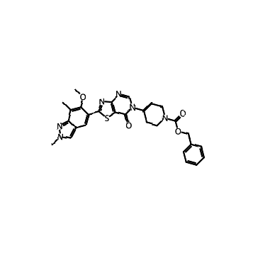 COc1c(-c2nc3ncn(C4CCN(C(=O)OCc5ccccc5)CC4)c(=O)c3s2)cc2cn(C)nc2c1C